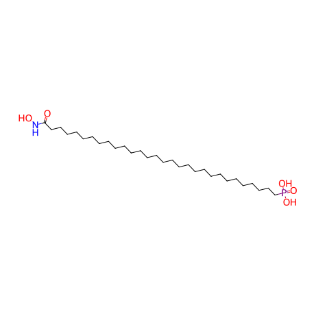 O=C(CCCCCCCCCCCCCCCCCCCCCCCCCCCCCP(=O)(O)O)NO